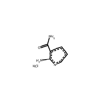 Cl.NC(=O)c1cccnc1N